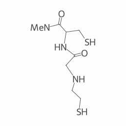 CNC(=O)C(CS)NC(=O)CNCCS